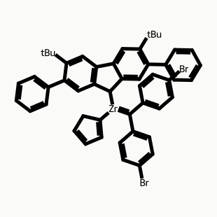 CC(C)(C)c1cc2c(cc1-c1ccccc1)[CH]([Zr]([C]1=CC=CC1)=[C](c1ccc(Br)cc1)c1ccc(Br)cc1)c1cc(-c3ccccc3)c(C(C)(C)C)cc1-2